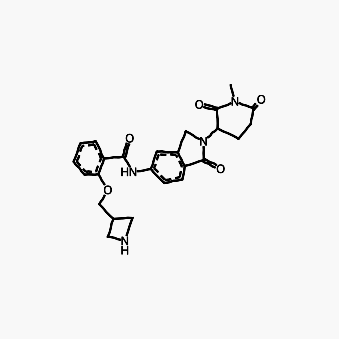 CN1C(=O)CCC(N2Cc3cc(NC(=O)c4ccccc4OCC4CNC4)ccc3C2=O)C1=O